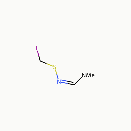 CN/C=N\SCI